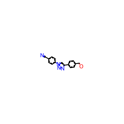 N#Cc1ccc(-n2cc(-c3ccc(C=O)cc3)nn2)cc1